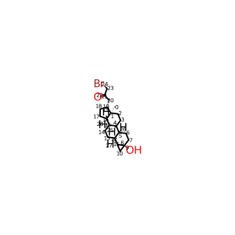 C[C@]12CC[C@@H]3[C@H]4CC[C@]5(O)CC5[C@H]4CC[C@H]3[C@@H]1CC[C@@H]2CC(=O)CBr